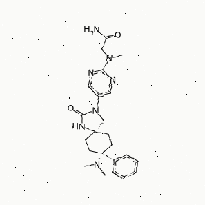 CN(CC(N)=O)c1ncc(N2C[C@]3(CC[C@@](c4ccccc4)(N(C)C)CC3)NC2=O)cn1